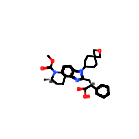 COC(=O)N1c2ccc3c(nc(C[C@@H](C(=O)O)c4ccccc4)n3C3CCC4(CC3)COC4)c2CC[C@@H]1C